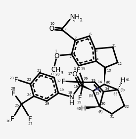 COc1cc2c(cc1C(N)=O)CCC2[C@@H]1[C@H](C(=O)Nc2ccc(F)c(C(F)(F)F)c2)[C@H]2CC[C@H]1/C2=C/C(F)(F)F